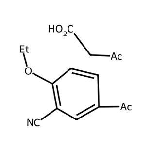 CC(=O)CC(=O)O.CCOc1ccc(C(C)=O)cc1C#N